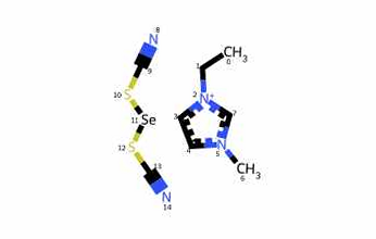 CC[n+]1ccn(C)c1.N#CS[Se]SC#N